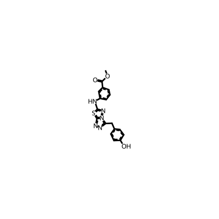 COC(=O)c1cccc(Nc2nn3c(Cc4ccc(O)cc4)nnc3s2)c1